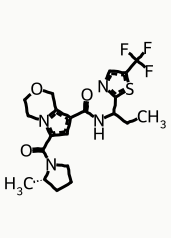 CCC(NC(=O)c1cc(C(=O)N2CCC[C@@H]2C)n2c1COCC2)c1ncc(C(F)(F)F)s1